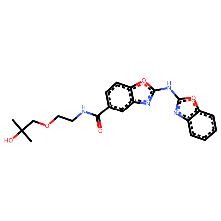 CC(C)(O)COCCNC(=O)c1ccc2oc(Nc3nc4ccccc4o3)nc2c1